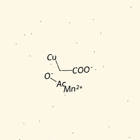 CC(=O)[O-].O=C([O-])[CH2][Cu].[Mn+2]